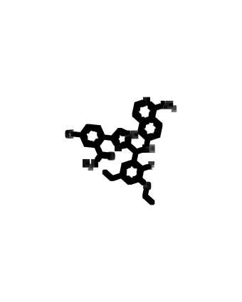 CCOc1cc(CC)cc(C(Nc2ccc3c(N)nccc3c2)c2nc(-c3ccc(Cl)cc3C(N)=O)c[nH]2)c1F